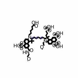 COCCNC(=O)c1cc(S(=O)(=O)O)c2ccc3c(c2c1)C(C)(C)\C(=C/C=C/C=C/C1=[N+](CCOC)c2ccc4c(S(=O)(=O)O)cc(S(=O)(=O)O)cc4c2C1(C)CCCS(=O)(=O)O)N3CCCCCC(=O)O